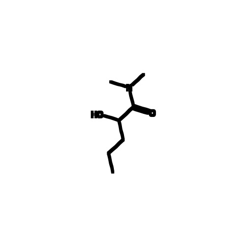 CCCC(O)C(=O)N(C)C